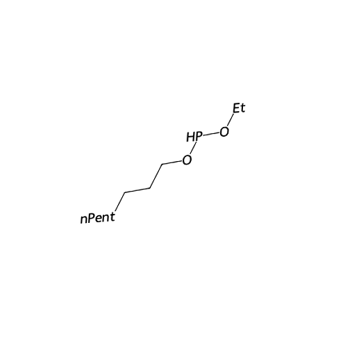 CCCCCCCCOPOCC